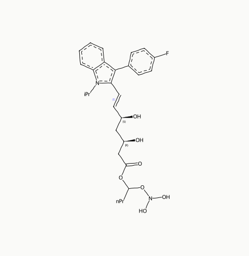 CCCC(OC(=O)C[C@H](O)C[C@H](O)/C=C/c1c(-c2ccc(F)cc2)c2ccccc2n1C(C)C)ON(O)O